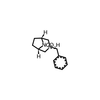 O=C(O)N1[C@@H]2CC[C@H]1CN(Cc1ccccc1)C2